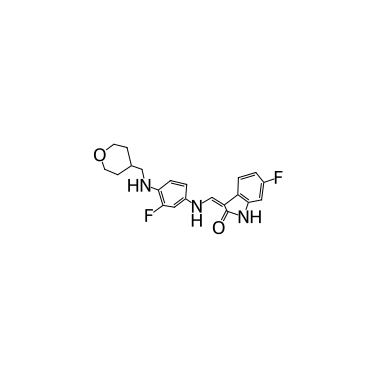 O=C1Nc2cc(F)ccc2C1=CNc1ccc(NCC2CCOCC2)c(F)c1